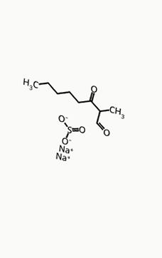 CCCCCC(=O)C(C)C=O.O=S([O-])[O-].[Na+].[Na+]